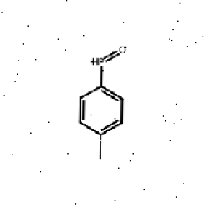 Cc1ccc([PH]=O)cc1